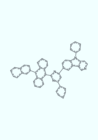 c1ccc(-c2cc(-c3ccc4c(c3)c3cnccc3n4-c3ccccc3)nc(-c3c4ccccc4c(-c4ccc5ccccc5c4)c4ccccc34)n2)cc1